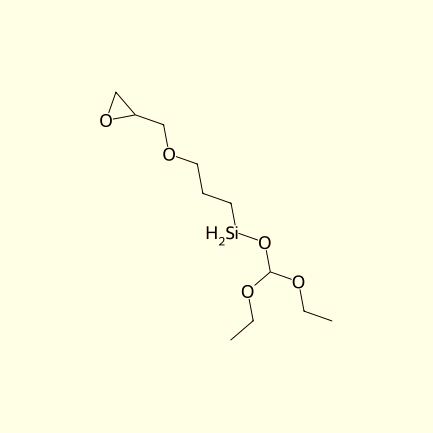 CCOC(OCC)O[SiH2]CCCOCC1CO1